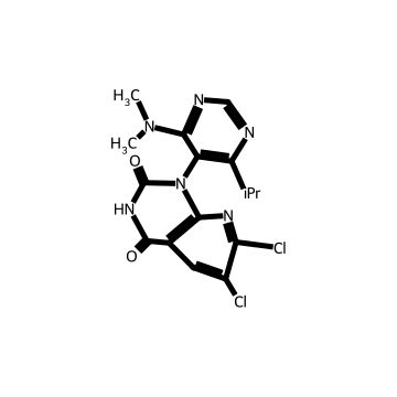 CC(C)c1ncnc(N(C)C)c1-n1c(=O)[nH]c(=O)c2cc(Cl)c(Cl)nc21